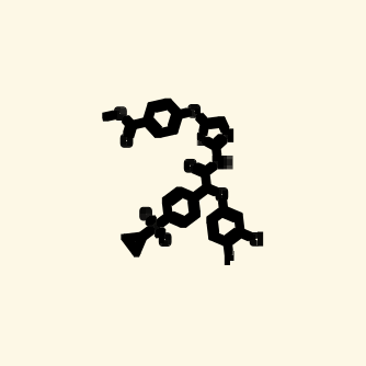 COC(=O)c1ccc(Oc2cnc(NC(=O)C(Oc3ccc(F)c(Cl)c3)c3ccc(S(=O)(=O)C4CC4)cc3)s2)cc1